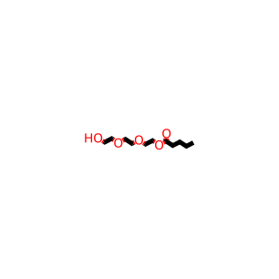 CCCCC(=O)OCCOCCOCCO